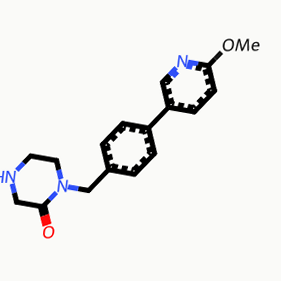 COc1ccc(-c2ccc(CN3CCNCC3=O)cc2)cn1